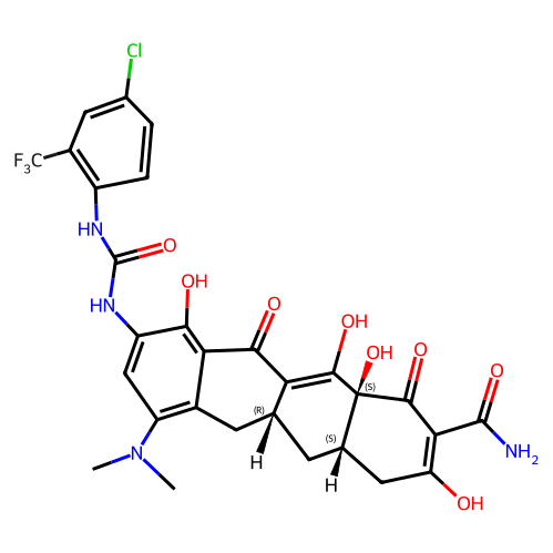 CN(C)c1cc(NC(=O)Nc2ccc(Cl)cc2C(F)(F)F)c(O)c2c1C[C@H]1C[C@H]3CC(O)=C(C(N)=O)C(=O)[C@@]3(O)C(O)=C1C2=O